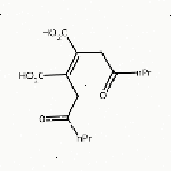 CCCC(=O)CC(C(=O)O)=C(CC(=O)CCC)C(=O)O